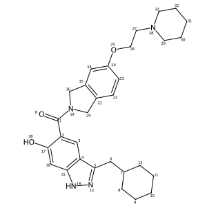 O=C(c1cc2c(CC3CCCCC3)n[nH]c2cc1O)N1Cc2ccc(OCCN3CCCCC3)cc2C1